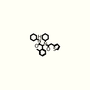 Cc1ccccc1C(C(=O)NC1CCCCC1)N(C(=O)Cc1cccs1)C1CCCCC1